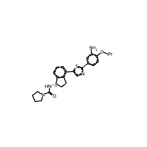 CC(C)Oc1ccc(-c2ncc(-c3cccc4c3CC[C@@H]4NC(=O)N3CCCC3)s2)cc1N